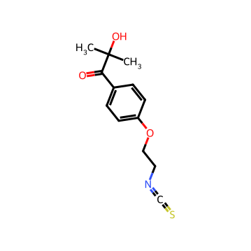 CC(C)(O)C(=O)c1ccc(OCCN=C=S)cc1